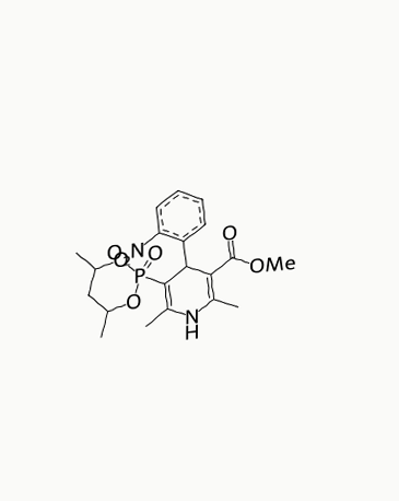 COC(=O)C1=C(C)NC(C)=C(P2(=O)OC(C)CC(C)O2)C1c1ccccc1[N+](=O)[O-]